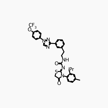 Cc1ccc(N2C(=O)CSC2=NC(=O)NCCc2cccc(-c3ncn(-c4ccc(OC(F)(F)F)cc4)n3)c2)c(C(C)C)c1